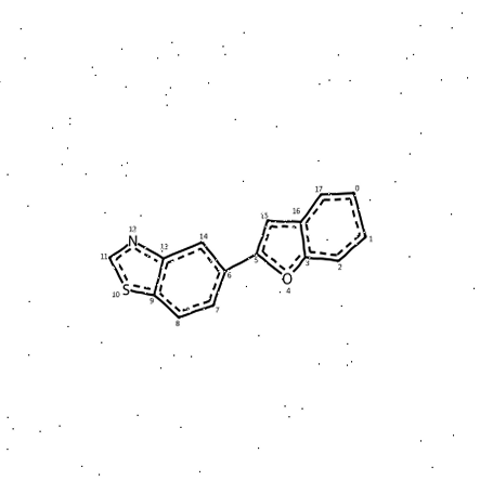 c1ccc2oc(-c3ccc4scnc4c3)cc2c1